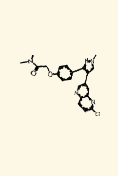 CN(C)C(=O)COc1ccc(-c2nn(C)cc2-c2cnc3ccc(Cl)nc3c2)cc1